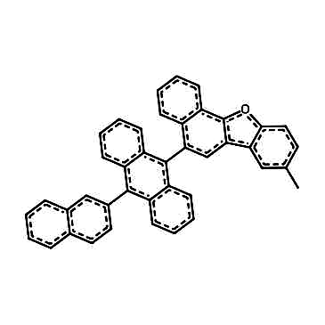 Cc1ccc2oc3c4ccccc4c(-c4c5ccccc5c(-c5ccc6ccccc6c5)c5ccccc45)cc3c2c1